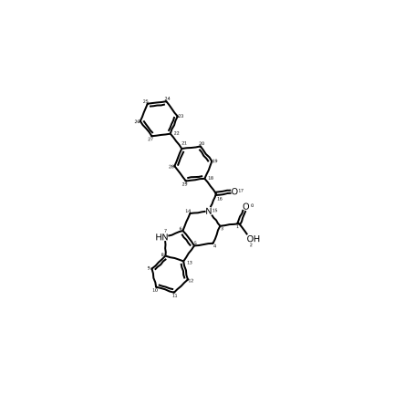 O=C(O)C1Cc2c([nH]c3ccccc23)CN1C(=O)c1ccc(-c2ccccc2)cc1